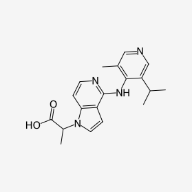 Cc1cncc(C(C)C)c1Nc1nccc2c1ccn2C(C)C(=O)O